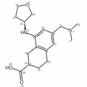 CN(C)Cc1cc2c(c(N[C@H]3CCOC3)c1)CN(C(=O)O)CC2